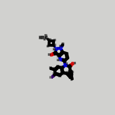 CC#CC(=O)N(c1ccc2c(n1)c(=O)n([C@H]1C[C@H](C(=O)O)C1)n2C)c1cc(C)c(I)cc1C1CC1